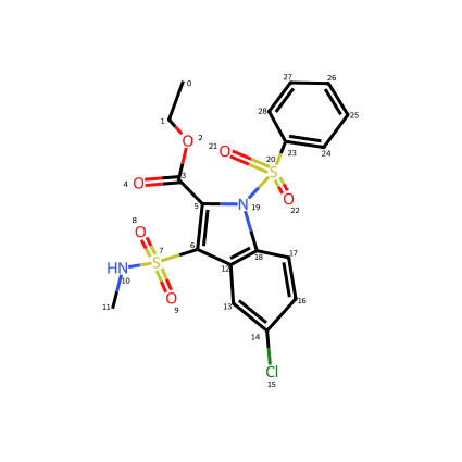 CCOC(=O)c1c(S(=O)(=O)NC)c2cc(Cl)ccc2n1S(=O)(=O)c1ccccc1